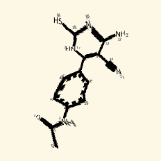 CC(=O)Nc1ccc(C2=C(C#N)C(N)=NC(S)N2)cc1